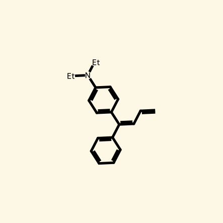 C=CC=C(c1ccccc1)c1ccc(N(CC)CC)cc1